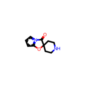 O=C1n2cccc2OC12CCNCC2